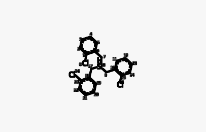 Clc1ccccc1C[SiH](Cc1ccccc1Cl)Cc1ccccc1Cl